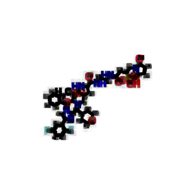 C[C@H](O)C(=O)N(CC1CNC(C(=O)NCCNC(=O)CC(CN2C(=O)C=CC2=O)S(=O)(=O)O)C1)[C@@H](c1nc(-c2cc(F)ccc2F)cn1Cc1ccccc1)C1CCOCC1